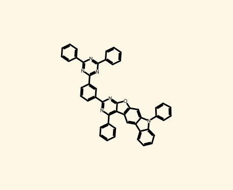 c1ccc(-c2nc(-c3ccccc3)nc(-c3cccc(-c4nc(-c5ccccc5)c5c(n4)oc4cc6c(cc45)c4ccccc4n6-c4ccccc4)c3)n2)cc1